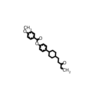 C=CC(=O)CCC1CCC(c2ccc(OC(=O)c3ccc(OC)cc3)cc2)CC1